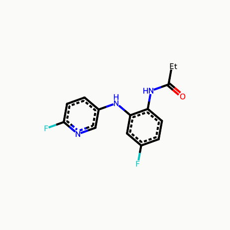 [CH2]CC(=O)Nc1ccc(F)cc1Nc1ccc(F)nc1